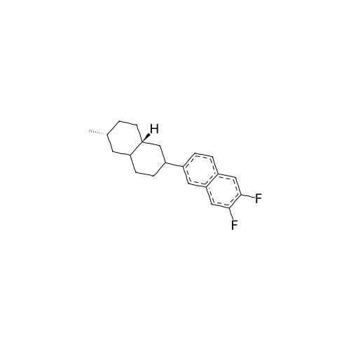 C[C@@H]1CC[C@@H]2CC(c3ccc4cc(F)c(F)cc4c3)CCC2C1